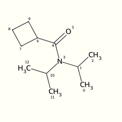 CC(C)N(C(=O)C1CCC1)C(C)C